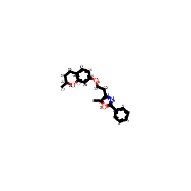 Cc1oc(-c2ccccc2)nc1CCOc1ccc2c(c1)OC(C)CC2